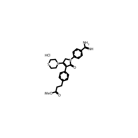 COC(=O)CCc1ccc(C2=C(N3CCSCC3)CN(c3ccc(C(=N)N)cc3)C2=O)cc1.Cl